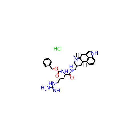 CN1C[C@H](CNC(=O)[C@H](CCCNC(=N)N)NC(=O)OCc2ccccc2)C[C@@H]2c3cccc4[nH]cc(c34)C[C@H]21.Cl